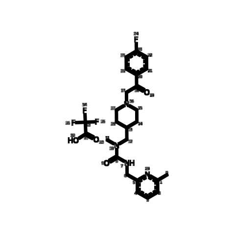 Cc1cccc(CNC(=O)N(C)CC2CCN(CC(=O)c3ccc(F)cc3)CC2)n1.O=C(O)C(F)(F)F